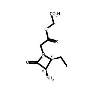 N[C@H]1C(=O)N(CC(=S)OCC(=O)O)[C@H]1CI